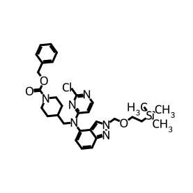 C[Si](C)(C)CCOCn1cc2c(N(CC3CCN(C(=O)OCc4ccccc4)CC3)c3ccnc(Cl)n3)cccc2n1